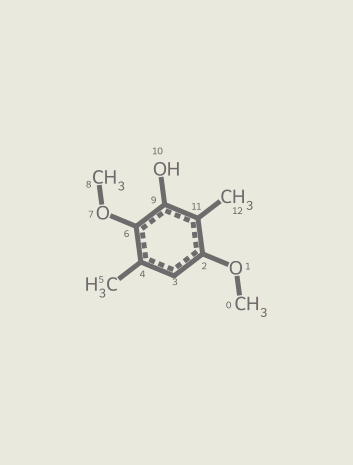 COc1cc(C)c(OC)c(O)c1C